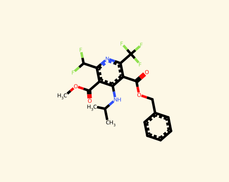 COC(=O)c1c(C(F)F)nc(C(F)(F)F)c(C(=O)OCc2ccccc2)c1NC(C)C